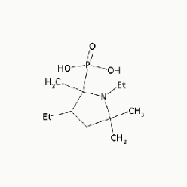 CCC1CC(C)(C)N(CC)C1(C)P(=O)(O)O